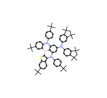 CC(C)(C)c1ccc(N2c3ccc(C(C)(C)C)cc3B3c4sc5cc(C(C)(C)C)ccc5c4N(c4ccc(C(C)(C)C)cc4)c4cc(N(c5ccc6c(c5)C(C)(C)CC6(C)C)c5ccc6c(c5)C(C)(C)CC6(C)C)cc2c43)cc1